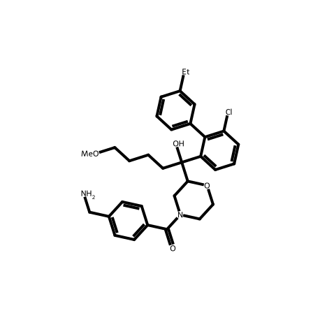 CCc1cccc(-c2c(Cl)cccc2C(O)(CCCCOC)C2CN(C(=O)c3ccc(CN)cc3)CCO2)c1